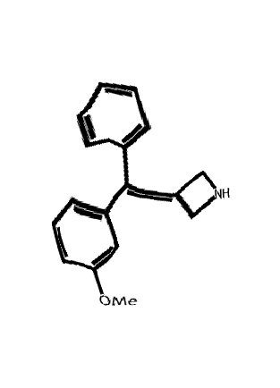 COc1cccc(C(=C2CNC2)c2ccccc2)c1